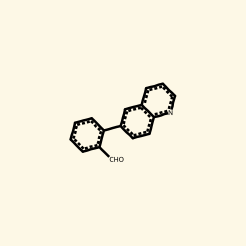 O=Cc1ccccc1-c1ccc2ncccc2c1